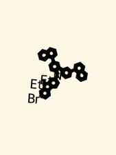 CCC1(CC)c2cc(Br)ccc2-c2ccc(-n3c4ccc(-c5cccc6ccccc56)cc4c4cc(-c5cccc6ccccc56)ccc43)cc21